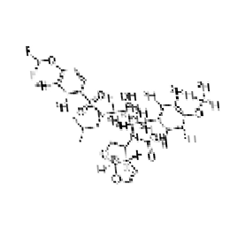 [2H]c1c(OC(F)F)ccc(S(=O)(=O)N(CC(C)C)C([2H])([2H])[C@@]([2H])(O)[C@@]([2H])(N(C(=O)O)C2CO[C@@H]3OC=C[C@@H]23)C([2H])([2H])c2c([2H])c([2H])c(OC([2H])([2H])[2H])c([2H])c2[2H])c1[2H]